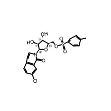 Cc1ccc(S(=O)(=O)OC[C@H]2O[C@@H](n3ccc4ccc(Cl)cc4c3=O)[C@@H](O)[C@@H]2O)cc1